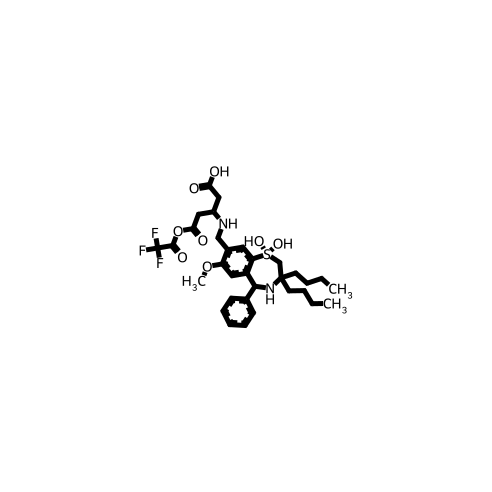 CCCCC1(CCCC)CS(O)(O)c2cc(CNC(CC(=O)O)CC(=O)OC(=O)C(F)(F)F)c(OC)cc2C(c2ccccc2)N1